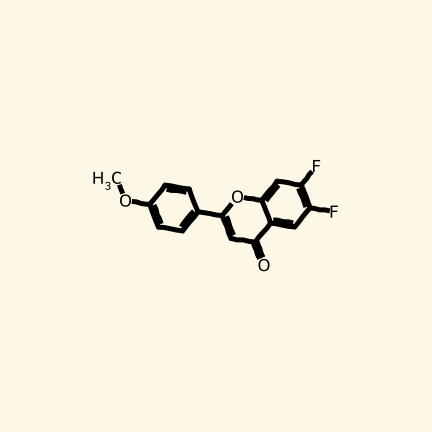 COc1ccc(-c2cc(=O)c3cc(F)c(F)cc3o2)cc1